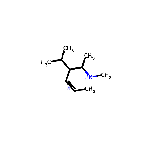 C/C=C\C(C(C)C)C(C)NC